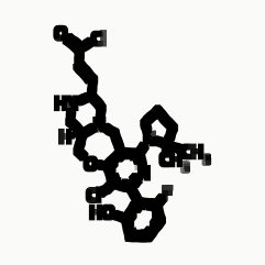 CC1(C)CCCN1c1nc(-c2c(O)cccc2F)c(Cl)c2c1CN1CC(/C=C/C(=O)Cl)NC[C@@H]1CO2